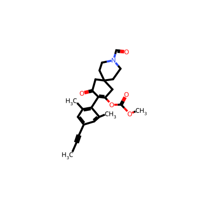 CC#Cc1cc(C)c(C2=C(OC(=O)OC)CC3(CCN(C=O)CC3)CC2=O)c(C)c1